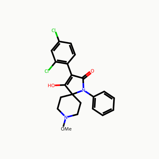 CON1CCC2(CC1)C(O)=C(c1ccc(Cl)cc1Cl)C(=O)N2c1ccccc1